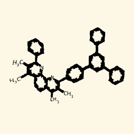 Cc1c(-c2ccccc2)nc2c(ccc3c(C)c(C)c(-c4ccc(-c5cc(-c6ccccc6)cc(-c6ccccc6)c5)cc4)nc32)c1C